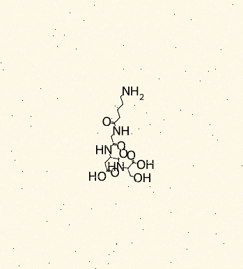 NCCCCC(=O)NCC(=O)NC(CC(=O)O)C(=O)NC(CO)C(=O)O